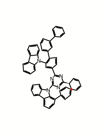 C1=CC[C@@H](c2nc(-c3ccc(-c4cccc(-c5ccccc5)c4)c(-n4c5ccccc5c5ccccc54)c3)nc(-n3c4ccccc4c4cccc(-c5ccccc5)c43)n2)C=C1